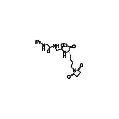 CCC(=O)[C@H](CCCCN1C(=O)CCC1=O)NC(=O)CNC(=O)CNC(C)C